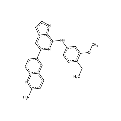 CCc1ccc(Nc2nc(-c3ccc4nc(N)ccc4c3)cn3ccnc23)cc1OC